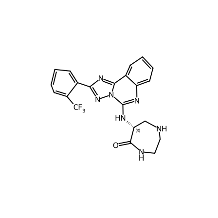 O=C1NCCNC[C@H]1Nc1nc2ccccc2c2nc(-c3ccccc3C(F)(F)F)nn12